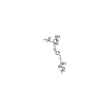 CCOC(=O)CC(CC(=O)O)NCCOc1ccc(CCCCNC(=O)OC(C)(C)C)cc1